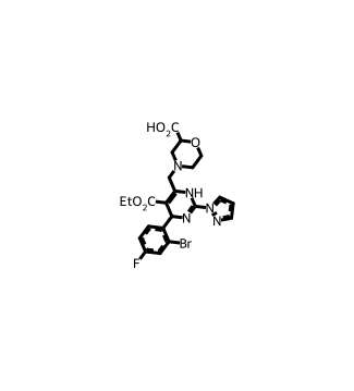 CCOC(=O)C1=C(CN2CCOC(C(=O)O)C2)NC(n2cccn2)=NC1c1ccc(F)cc1Br